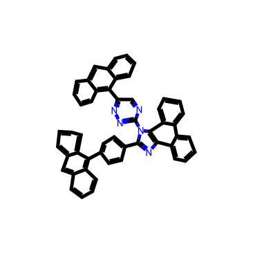 c1ccc2c(-c3ccc(-c4nc5c6ccccc6c6ccccc6c5n4-c4ncc(-c5c6ccccc6cc6ccccc56)nn4)cc3)c3ccccc3cc2c1